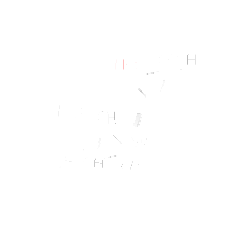 Cc1cc2c(cc1[Se]C#Cc1ccc(C(=O)O)c(O)c1)C(C)(C)CCC2(C)C